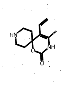 C=CC1=C(C)NC(=O)OC12CCNCC2